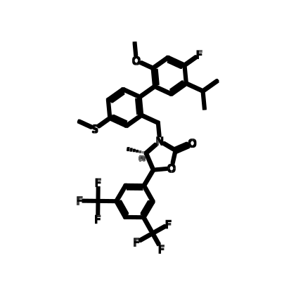 COc1cc(F)c(C(C)C)cc1-c1ccc(SC)cc1CN1C(=O)OC(c2cc(C(F)(F)F)cc(C(F)(F)F)c2)[C@@H]1C